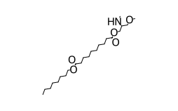 CCCCCCCCOC(=O)CCCCCCCCC(=O)OCC(COC)NC